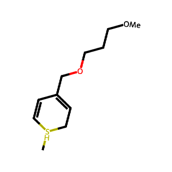 COCCCOCC1=CC[SH](C)C=C1